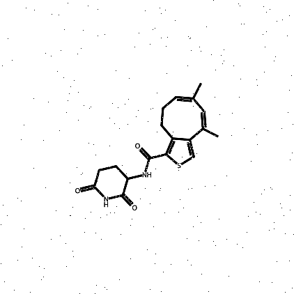 CC1=C/CCc2c(csc2C(=O)NC2CCC(=O)NC2=O)/C(C)=C\1